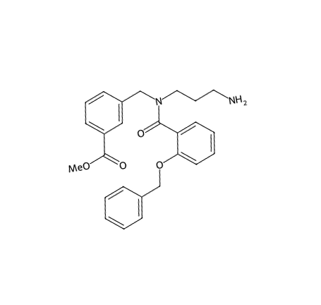 COC(=O)c1cccc(CN(CCCN)C(=O)c2ccccc2OCc2ccccc2)c1